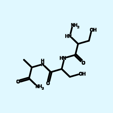 CC(NC(=O)C(CO)NC(=O)C(CO)NN)C(N)=O